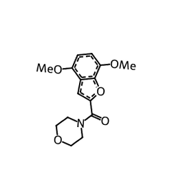 COc1ccc(OC)c2oc(C(=O)N3CCOCC3)cc12